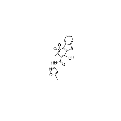 Cc1cc(NC(=O)C2=C(O)c3sc4ccccc4c3S(=O)(=O)N2C)no1